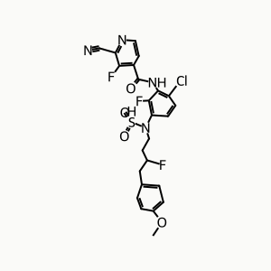 COc1ccc(CC(F)CCN(c2ccc(Cl)c(NC(=O)c3ccnc(C#N)c3F)c2F)[SH](=O)=O)cc1